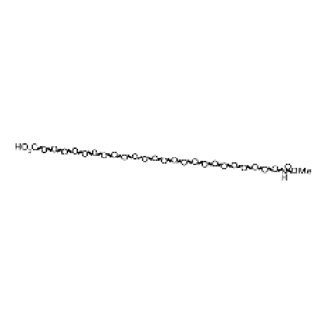 COCC(=O)NCCOCCOCCOCCOCCOCCOCCOCCOCCOCCOCCOCCOCCOCCOCCOCCOCCOCCOCCOCCOCCOCCOCCOCCOCCC(=O)O